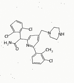 Cc1c(Cl)cccc1-c1cc(CN2CCNCC2)cc(C(C(N)=O)c2c(Cl)cccc2Cl)n1